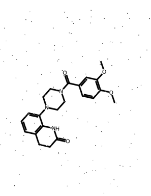 COc1ccc(C(=O)N2CCN(c3cccc4c3NC(=O)CC4)CC2)cc1OC